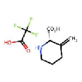 C=C1CCCN[C@@H]1C(=O)O.O=C(O)C(F)(F)F